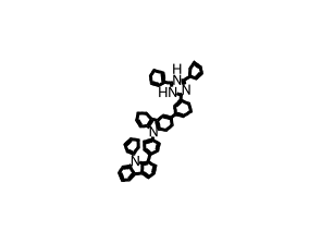 C1=CCCC(n2c3ccccc3c3cccc(-c4ccc(-n5c6c(c7c5CCC(C5=CCCC(C8N=C(C9C=CC=CC9)NC(C9=CCCC=C9)N8)=C5)=C7)CCC=C6)cc4)c32)=C1